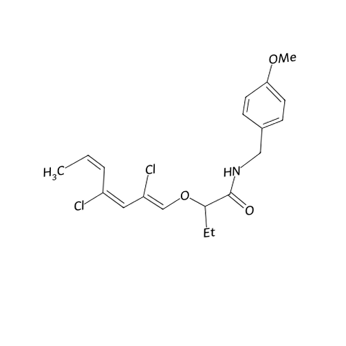 C\C=C/C(Cl)=C\C(Cl)=C\OC(CC)C(=O)NCc1ccc(OC)cc1